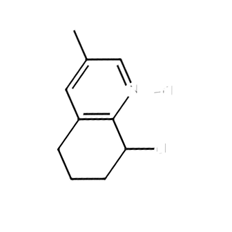 Cc1cnc2c(c1)CCCC2Cl.Cl